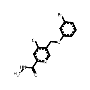 CNC(=O)c1cc(Cl)c(COc2cccc(Br)c2)cn1